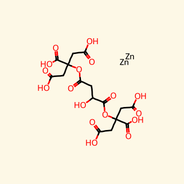 O=C(O)CC(CC(=O)O)(OC(=O)CC(O)C(=O)OC(CC(=O)O)(CC(=O)O)C(=O)O)C(=O)O.[Zn].[Zn]